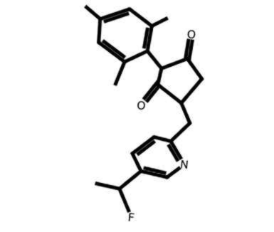 Cc1cc(C)c(C2C(=O)CC(Cc3ccc(C(C)F)cn3)C2=O)c(C)c1